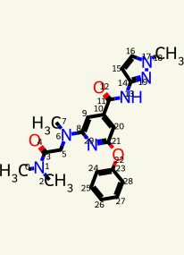 CN(C)C(=O)CN(C)c1cc(C(=O)Nc2ccn(C)n2)cc(Oc2ccccc2)n1